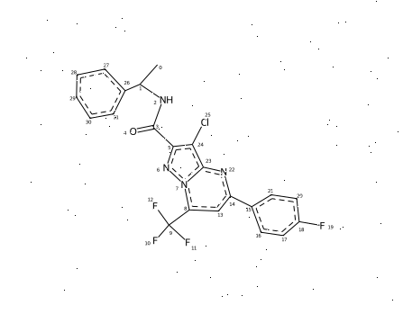 CC(NC(=O)c1nn2c(C(F)(F)F)cc(-c3ccc(F)cc3)nc2c1Cl)c1ccccc1